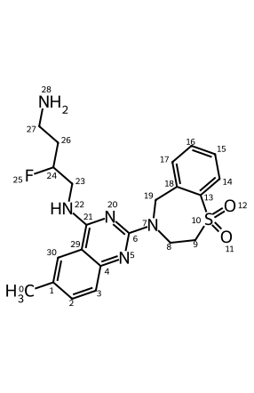 Cc1ccc2nc(N3CCS(=O)(=O)c4ccccc4C3)nc(NCC(F)CCN)c2c1